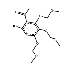 COCOc1cc(O)c(C(C)=O)c(OCOC)c1OCOC